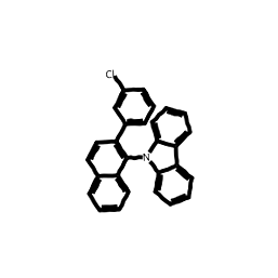 Clc1cccc(-c2ccc3ccccc3c2-n2c3ccccc3c3ccccc32)c1